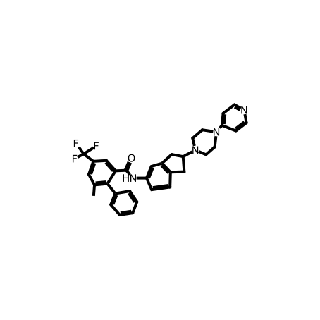 Cc1cc(C(F)(F)F)cc(C(=O)Nc2ccc3c(c2)CC(N2CCN(c4ccncc4)CC2)C3)c1-c1ccccc1